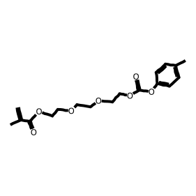 C=C(C)C(=O)OCCOCCOCCOC(=O)Oc1ccc(C)cc1